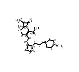 CN1CCN(CCCn2nnnc2SCC2=C(C(=O)O)N3C(=O)C(N)[C@@H]3SC2)CC1